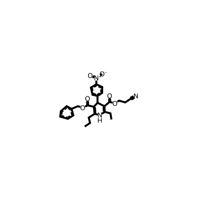 CCCC1=C(C(=O)OCc2ccccc2)C(c2ccc([N+](=O)[O-])cc2)C(C(=O)OCCC#N)=C(CC)N1